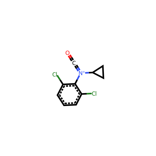 O=C=[N+](c1c(Cl)cccc1Cl)C1CC1